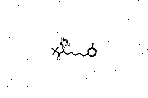 Cc1cccc(CCCCCC(C(=O)C(C)(C)C)n2cncn2)c1